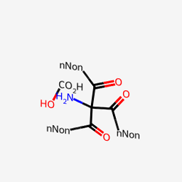 CCCCCCCCCC(=O)C(N)(C(=O)CCCCCCCCC)C(=O)CCCCCCCCC.O=C(O)O